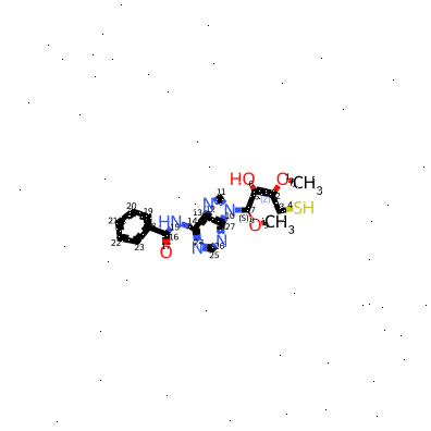 CO/C(CS)=C(\O)[C@H](OC)n1cnc2c(NC(=O)c3ccccc3)ncnc21